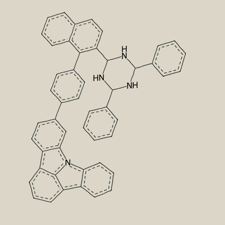 c1ccc(C2NC(c3ccccc3)NC(c3ccc4ccccc4c3-c3ccc(-c4ccc5c6cccc7c8ccccc8n(c5c4)c76)cc3)N2)cc1